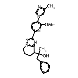 COc1nc(-c2nc3n(n2)CCCC3C(C)(O)Cc2ccccc2)ccc1-n1cnc(C)c1